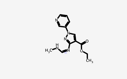 CCOC(=O)c1cn(-c2cccnc2)nc1/N=C\NC